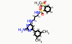 Cc1cc(C)cc(-c2cc(NCCCNS(=O)(=O)c3ccccc3S(C)(=O)=O)nc(N)n2)c1